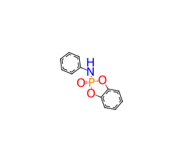 O=P1(Nc2ccccc2)Oc2ccccc2O1